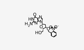 Nc1nc2c(ncn2[C@H]2CC(OCc3ccccc3[N+](=O)[O-])[C@@H](CO)O2)c(=O)[nH]1